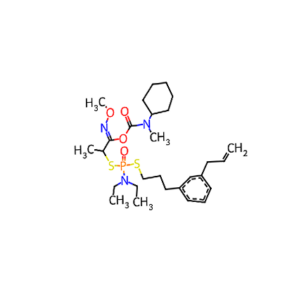 C=CCc1cccc(CCCSP(=O)(SC(C)C(=NOC)OC(=O)N(C)C2CCCCC2)N(CC)CC)c1